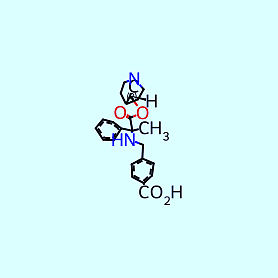 CC(NCc1ccc(C(=O)O)cc1)(C(=O)O[C@H]1CN2CCC1CC2)c1ccccc1